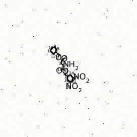 N[C@@H](CC(=O)OCc1ccccc1)C(=O)OCc1cc([N+](=O)[O-])cc([N+](=O)[O-])c1